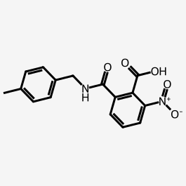 Cc1ccc(CNC(=O)c2cccc([N+](=O)[O-])c2C(=O)O)cc1